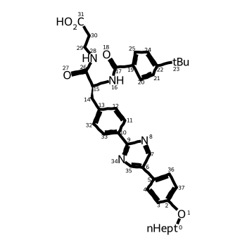 CCCCCCCOc1ccc(-c2cnc(-c3ccc(C[C@H](NC(=O)c4ccc(C(C)(C)C)cc4)C(=O)NCCC(=O)O)cc3)nc2)cc1